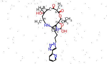 B[C@@H]1CC(=O)[C@@H](C)C(=O)O[C@H](CC)[C@@]2(C)OC(O)N(CCCCn3cc(-c4ccccn4)nn3)[C@@H]2[C@@H](C)NC[C@H](C)C[C@]1(C)O